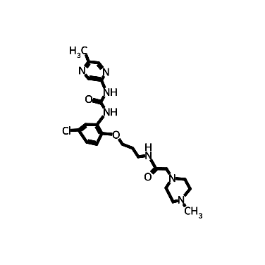 Cc1cnc(NC(=O)Nc2cc(Cl)ccc2OCCCNC(=O)CN2CCN(C)CC2)cn1